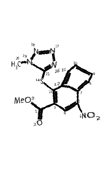 COC(=O)c1cc([N+](=O)[O-])c2ccccc2c1Sc1nnnn1C